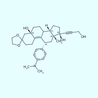 CN(C)c1ccc([C@H]2C[C@]3(C)[C@@H](CC[C@]3(O)C#CCO)C3CC[C@@]4(O)CC5(CCC4=C32)OCCO5)cc1